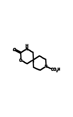 O=C1NCC2(CCN(C(=O)O)CC2)CO1